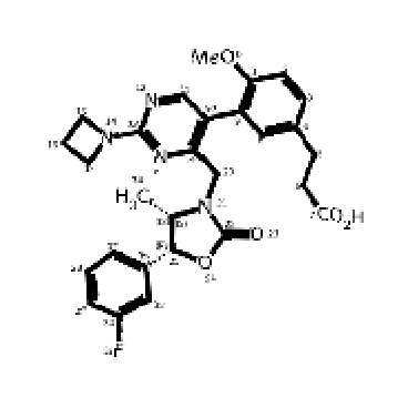 COc1ccc(CCC(=O)O)cc1-c1cnc(N2CCC2)nc1CN1C(=O)O[C@H](c2cccc(F)c2)[C@@H]1C